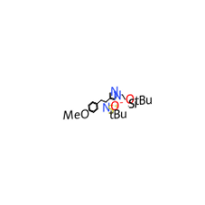 COc1ccc(CC(=N[S@+]([O-])C(C)(C)C)c2cnn(CCO[Si](C)(C)C(C)(C)C)c2)cc1